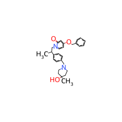 CC(Cn1ccc(OCc2ccccc2)cc1=O)c1ccc(CN2CCC(C)(O)CC2)cc1